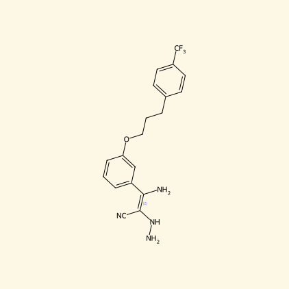 N#C/C(NN)=C(/N)c1cccc(OCCCc2ccc(C(F)(F)F)cc2)c1